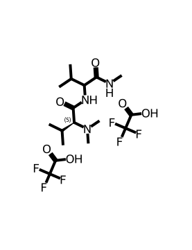 CNC(=O)C(NC(=O)[C@H](C(C)C)N(C)C)C(C)C.O=C(O)C(F)(F)F.O=C(O)C(F)(F)F